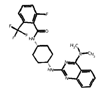 CN(C)c1nc(N[C@H]2CC[C@@H](NC(=O)c3c(F)cccc3C(F)(F)F)CC2)nc2ccccc12